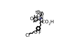 CN1CN(/C(=N\C(=O)OC(C)(C)C)N(CCc2ccc(OCCCCl)c(F)c2)C(=O)O)CN(C)C1=O